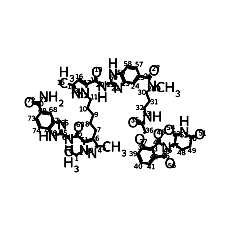 CCn1nc(C)c(CCCCCn2nc(C)cc2C(=O)Nc2nc3cc(C(=O)N(C)CCCNC(=O)COc4cccc5c4C(=O)N(C4CCC(=O)NC4=O)C5=O)ccc3[nH]2)c1C(=O)Nc1nc2cc(C(N)=O)ccc2[nH]1